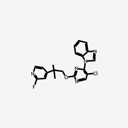 CC(C)(COc1ncc(Cl)c(-n2cnc3ccccc32)n1)c1ccnc(F)c1